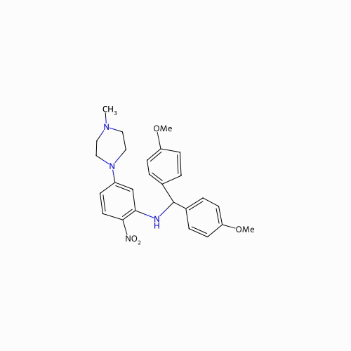 COc1ccc(C(Nc2cc(N3CCN(C)CC3)ccc2[N+](=O)[O-])c2ccc(OC)cc2)cc1